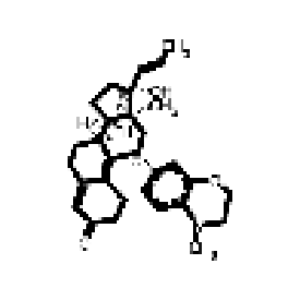 CC=C[C@]1(O)CC[C@H]2[C@@H]3CCC4=CC(=O)CCC4=C3[C@@H](c3ccc4c(c3)OCCN4C)C[C@@]21C